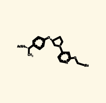 CC(=O)N[C@@H](C)c1ccc(O[C@@H]2CCN(c3ccnc(OCC(C)(C)C)c3)C2)cc1